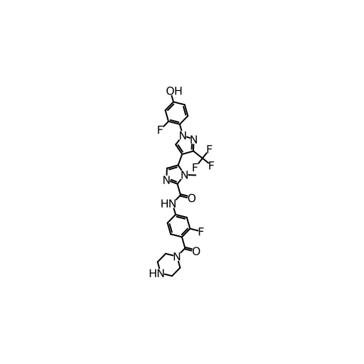 Cn1c(-c2cn(-c3ccc(O)cc3F)nc2C(F)(F)F)cnc1C(=O)Nc1ccc(C(=O)N2CCNCC2)c(F)c1